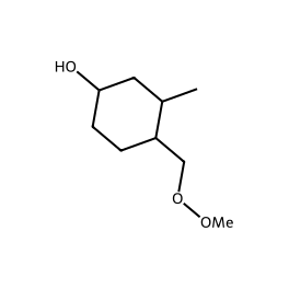 COOCC1CCC(O)CC1C